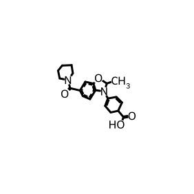 CC1Oc2cc(C(=O)N3CCCCC3)ccc2N1C1=CCC(C(=O)O)C=C1